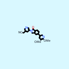 COc1cc(-c2ccc3c(c2)CN(c2cncc(CC#N)c2)C3=O)cnc1OC